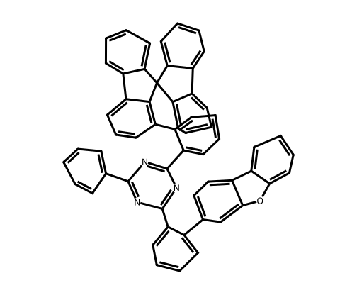 c1ccc(-c2nc(-c3ccccc3-c3ccc4c(c3)oc3ccccc34)nc(-c3ccccc3-c3cccc4c3C3(c5ccccc5-c5ccccc53)c3ccccc3-4)n2)cc1